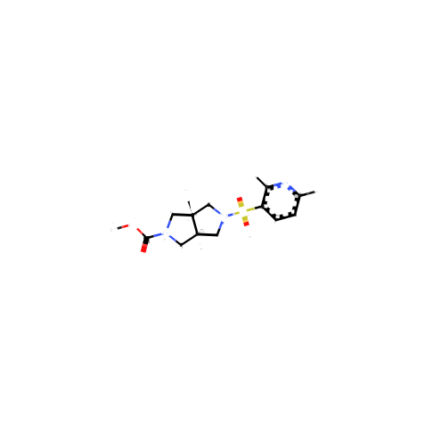 Cc1nc(C(F)(F)F)ccc1S(=O)(=O)N1C[C@H]2CN(C(=O)OC(C)(C)C)C[C@@H]2C1